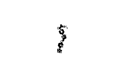 CC(N)C(=O)N1CCC(n2ncc(COc3ccc(-n4cnnn4)nc3)n2)CC1